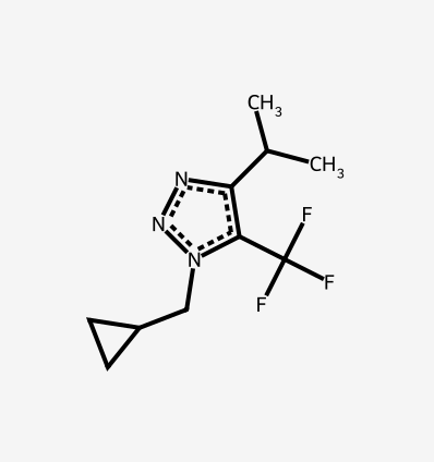 CC(C)c1nnn(CC2CC2)c1C(F)(F)F